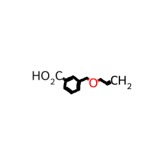 C=CCOCc1cccc(C(=O)O)c1